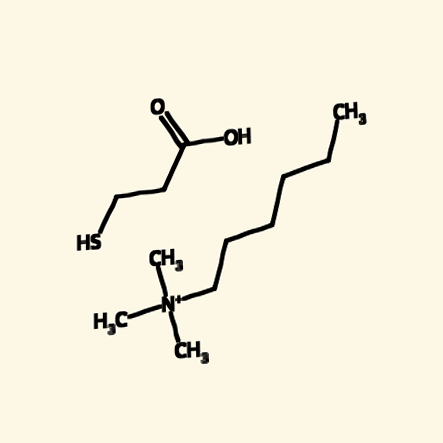 CCCCCC[N+](C)(C)C.O=C(O)CCS